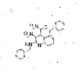 NC(=O)c1c([N+](=O)[O-])c(NCc2ccccc2)nc2cccc(Cc3ccccc3)c12